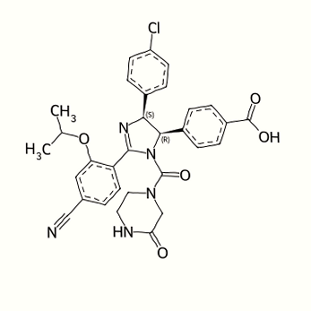 CC(C)Oc1cc(C#N)ccc1C1=N[C@@H](c2ccc(Cl)cc2)[C@@H](c2ccc(C(=O)O)cc2)N1C(=O)N1CCNC(=O)C1